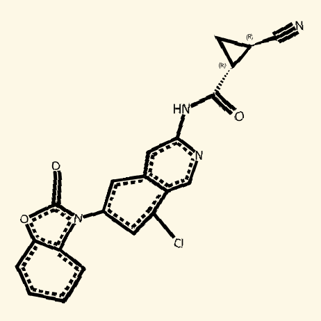 N#C[C@@H]1C[C@H]1C(=O)Nc1cc2cc(-n3c(=O)oc4ccccc43)cc(Cl)c2cn1